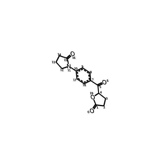 O=C1CCC(C(=O)c2ccc(N3CCCC3=O)cc2)O1